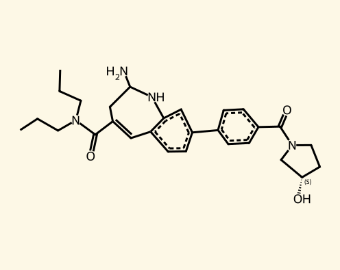 CCCN(CCC)C(=O)C1=Cc2ccc(-c3ccc(C(=O)N4CC[C@H](O)C4)cc3)cc2NC(N)C1